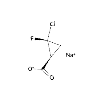 O=C([O-])[C@@H]1C[C@@]1(F)Cl.[Na+]